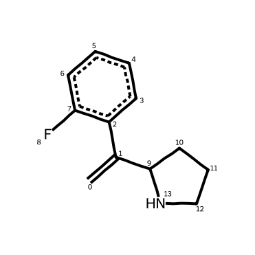 C=C(c1ccccc1F)C1CCCN1